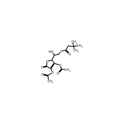 CC(=O)OC1=C(OC(C)=O)C(C(O)COC(=O)CC(C)(C)C)OC1=O